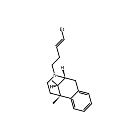 CCC=CCCN1CC[C@@]2(C)c3ccccc3C[C@@H]1[C@H]2C